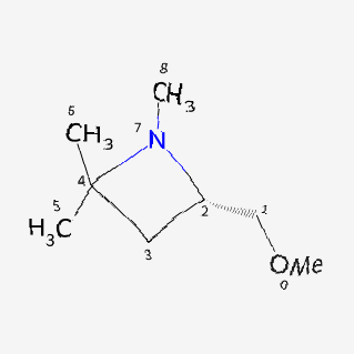 COC[C@@H]1CC(C)(C)N1C